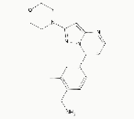 Cc1cc(-c2ccnc3cc(N4CCOCC4)nn23)ccc1CN